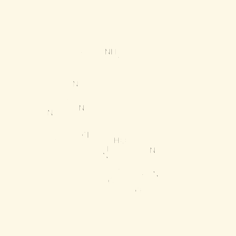 CC1(CN)CCN(c2cnc(Sc3cccc(NC(=O)c4c(O)nc5n(c4=O)CCCC5)c3Cl)cn2)CC1